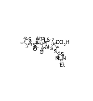 CCc1nsc(SCC2(C(=O)O)CS[C@@H]3C(N(C(C)=O)[S+]([O-])c4cccs4)C(=O)N3C2)n1